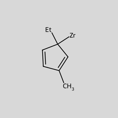 CC[C]1([Zr])C=CC(C)=C1